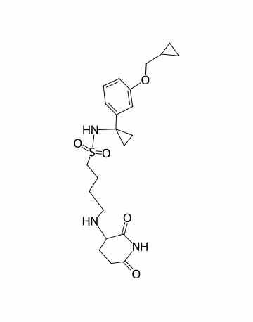 O=C1CCC(NCCCCS(=O)(=O)NC2(c3cccc(OCC4CC4)c3)CC2)C(=O)N1